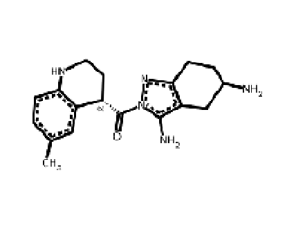 Cc1ccc2c(c1)[C@@H](C(=O)n1nc3c(c1N)CC(N)CC3)CCN2